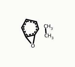 CC.c1ccc2c(c1)O2